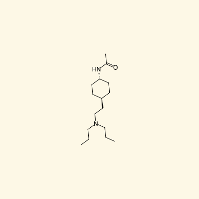 CCCN(CCC)CC[C@H]1CC[C@H](NC(C)=O)CC1